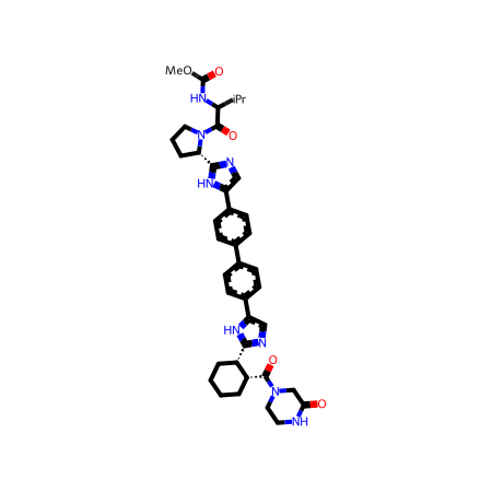 COC(=O)NC(C(=O)N1CCC[C@H]1c1ncc(-c2ccc(-c3ccc(-c4cnc([C@H]5CCCC[C@H]5C(=O)N5CCNC(=O)C5)[nH]4)cc3)cc2)[nH]1)C(C)C